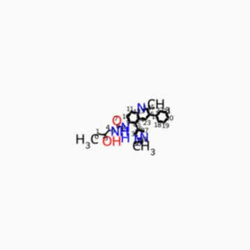 CC[C@@H](O)CNC(=O)Nc1ccc2nc(C)c(-c3ccccc3)cc2c1-c1cnn(C)c1